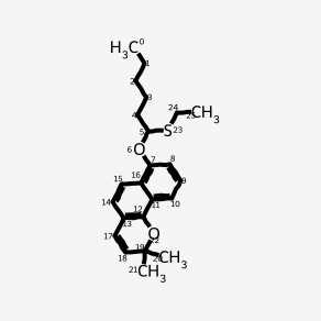 CCCCCC(Oc1cccc2c3c(ccc12)C=CC(C)(C)O3)SCC